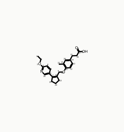 CCOc1ccc(C2=C(COc3ccc(CCC(=O)O)cc3C)CCC2)cn1